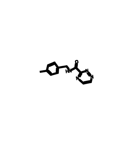 Cc1ccc(CNC(=O)c2nccnn2)cc1